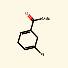 CCC1=CCC=C(C(=O)OCC(C)C)C1